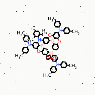 Cc1ccc(N(c2ccc(C)cc2)c2cc3c4c(c2)Oc2cc5c(cc2B4c2ccccc2O3)B2c3cc4c(cc3N(c3c(C)cc(C)cc3C)c3cc(N(c6ccc(C)cc6)c6ccc(C)cc6)cc(c32)O5)Oc2cc(N(c3ccc(C)cc3)c3ccc(C)cc3)cc3c2B4c2ccccc2O3)cc1